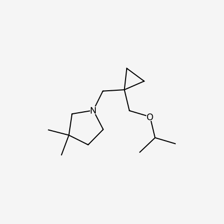 CC(C)OCC1(CN2CCC(C)(C)C2)CC1